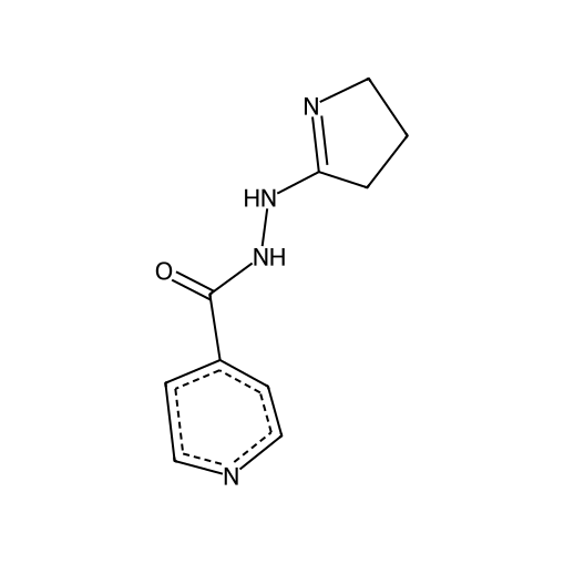 O=C(NNC1=NCCC1)c1ccncc1